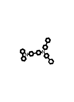 C1=CCC(c2ccc(N(c3ccc(-c4ccccc4)cc3)c3ccc(-c4ccc(-n5c6ccccc6c6ccccc65)cc4)cc3)cc2)C=C1